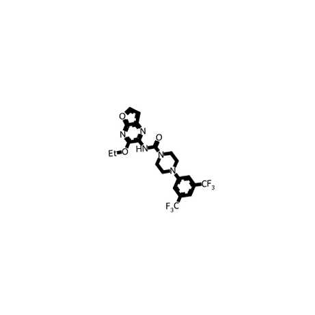 CCOc1nc2occc2nc1NC(=O)N1CCN(c2cc(C(F)(F)F)cc(C(F)(F)F)c2)CC1